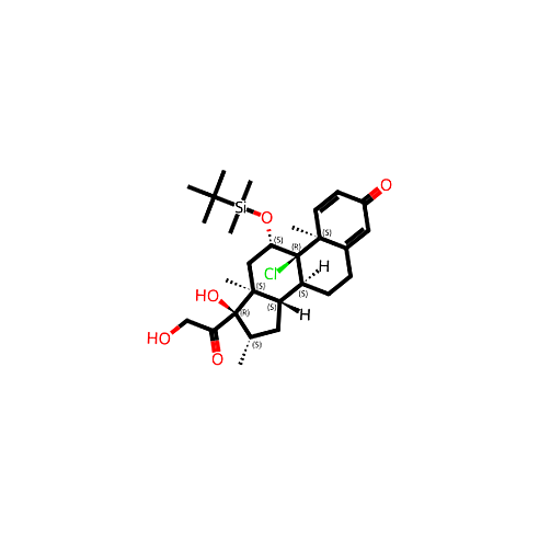 C[C@H]1C[C@H]2[C@@H]3CCC4=CC(=O)C=C[C@]4(C)[C@@]3(Cl)[C@@H](O[Si](C)(C)C(C)(C)C)C[C@]2(C)[C@@]1(O)C(=O)CO